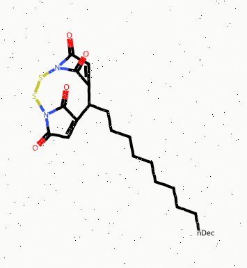 CCCCCCCCCCCCCCCCCCCC1C2=CC(=O)N(SSN3C(=O)C=C1C3=O)C2=O